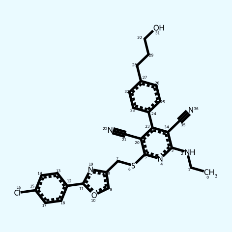 CCNc1nc(SCc2coc(-c3ccc(Cl)cc3)n2)c(C#N)c(-c2ccc(CCCO)cc2)c1C#N